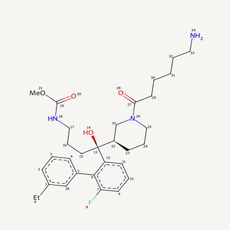 CCc1cccc(-c2c(F)cccc2[C@](O)(CCCNC(=O)OC)[C@@H]2CCCN(C(=O)CCCCCN)C2)c1